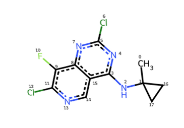 CC1(Nc2nc(Cl)nc3c(F)c(Cl)ncc23)CC1